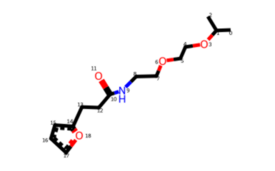 CC(C)OCCOCCNC(=O)CCc1ccco1